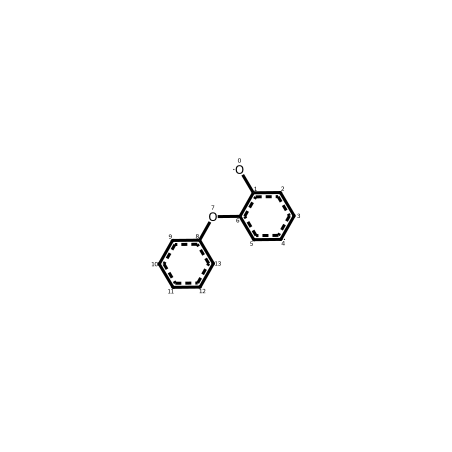 [O]c1cc[c]cc1Oc1ccccc1